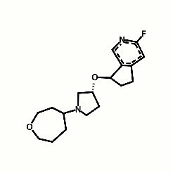 Fc1cc2c(cn1)C(O[C@@H]1CCN(C3CCCOCC3)C1)CC2